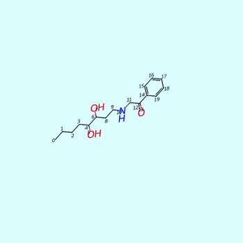 CCCCC(O)C(O)CCNCC(=O)c1ccccc1